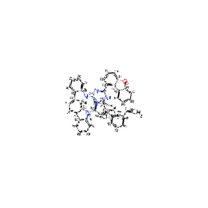 C=C/C=C\C=C(/C)c1nc(-c2cccc3oc4ccccc4c23)nc(-n2c3ccccc3c3ccc4c5ccccc5n(-c5cccc(-c6ccccc6)c5)c4c32)n1